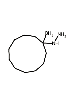 BC1(NN)CCCCCCCCCC1